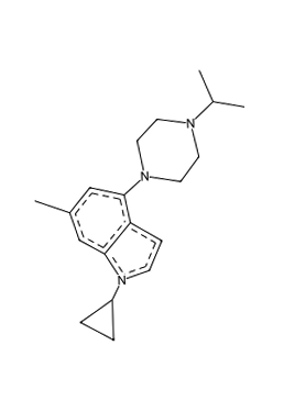 Cc1cc(N2CCN(C(C)C)CC2)c2ccn(C3CC3)c2c1